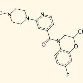 CC1CN(C(=O)c2ccnc(N3CCN(C)CC3)c2)c2ccc(F)cc2O1